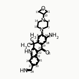 CC1(C)c2cc(N3CCN(C4COC4)CC3)c(N)cc2C(=O)c2c1[nH]c1cc(C=N)ccc21